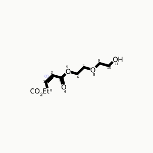 CCOC(=O)/C=C\C(=O)OCCOCCO